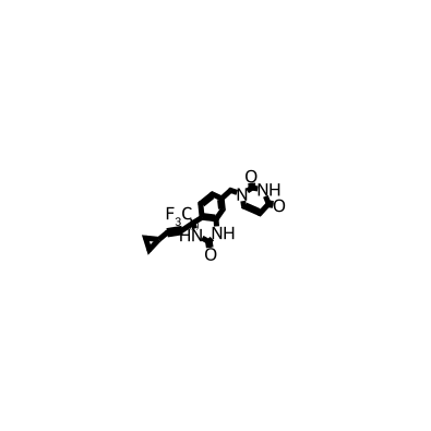 O=C1Nc2cc(Cn3ccc(=O)[nH]c3=O)ccc2[C@@](C#CC2CC2)(C(F)(F)F)N1